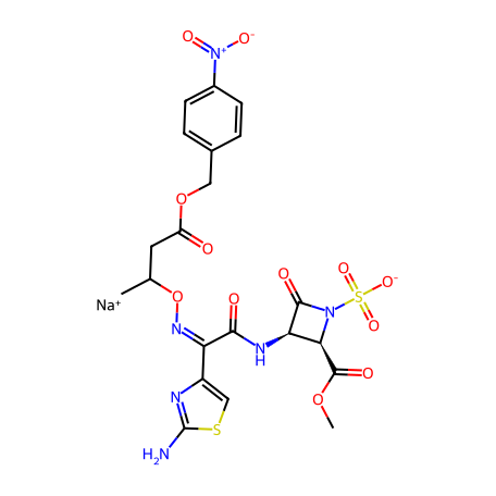 COC(=O)[C@H]1[C@@H](NC(=O)C(=NOC(C)CC(=O)OCc2ccc([N+](=O)[O-])cc2)c2csc(N)n2)C(=O)N1S(=O)(=O)[O-].[Na+]